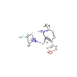 CCc1ccc([C@@H]2CCOC2)c(CN2CC(F)C2)n1